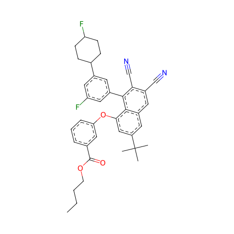 CCCCOC(=O)c1cccc(Oc2cc(C(C)(C)C)cc3cc(C#N)c(C#N)c(-c4cc(F)cc(C5CCC(F)CC5)c4)c23)c1